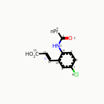 CCCC(=O)Nc1ccc(Cl)cc1/C=C/C(=O)O